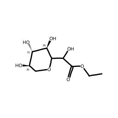 CCOC(=O)C(O)C1OC[C@@H](O)[C@H](O)[C@H]1O